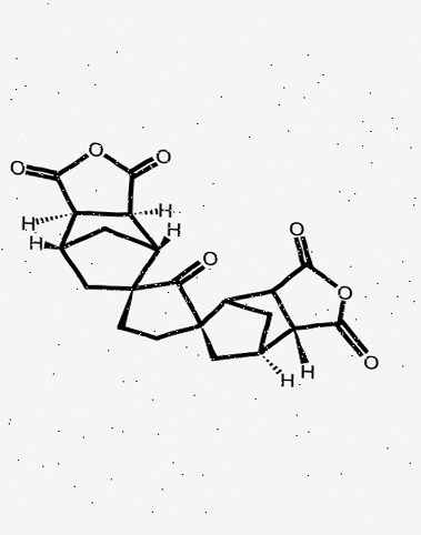 O=C1OC(=O)[C@H]2C1C1C[C@@H]2C[C@]12CC[C@]1(C[C@H]3C[C@@H]1[C@@H]1C(=O)OC(=O)[C@H]31)C2=O